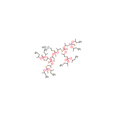 CC(C)CC(C)OP(=O)(OC(C)CC(C)C)SCC(C)OP(=S)(OC(C)CSP(=S)(OC(C)CC(C)C)OC(C)CC(C)C)SCC(C)OP(=S)(OC(C)CSP(=S)(OC(C)CSP(=S)(OC(C)CC(C)C)OC(C)CC(C)C)OC(C)CSP(=S)(OC(C)CC(C)C)OC(C)CC(C)C)SCCC(=O)O